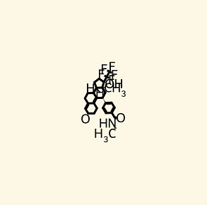 CCNC(=O)c1ccc([C@H]2C[C@@]3(C)[C@@H](CC[C@@]3(O)C(F)(F)C(F)(F)F)[C@@H]3CCC4=CC(=O)CCC4=C32)cc1